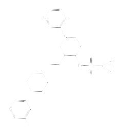 O=S(=O)(NC1CCN(c2cccnn2)CC1CO[C@H]1CC[C@@H](c2cccc(F)c2)CC1)C1CC1